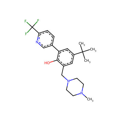 CN1CCN(Cc2cc(C(C)(C)C)cc(-c3ccc(C(F)(F)F)nc3)c2O)CC1